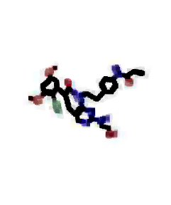 C=CC(=O)Nc1ccc(CCn2c(=O)c(-c3cc(OC)cc(OC)c3Cl)cc3cnc(NCCO)nc32)cc1